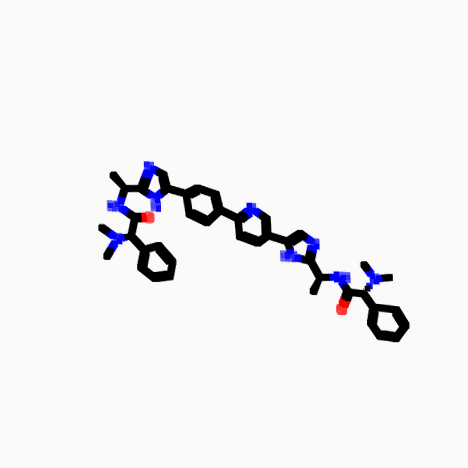 C[C@H](NC(=O)[C@@H](c1ccccc1)N(C)C)c1ncc(-c2ccc(-c3ccc(-c4cnc([C@H](C)NC(=O)[C@@H](c5ccccc5)N(C)C)[nH]4)cn3)cc2)[nH]1